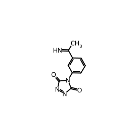 CC(=N)c1cccc(N2C(=O)N=NC2=O)c1